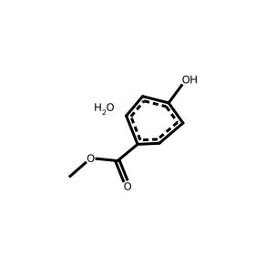 COC(=O)c1ccc(O)cc1.O